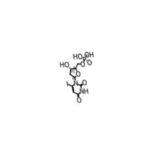 O=c1cc(I)n([C@H]2C[C@H](O)[C@@H](COP(=O)(O)O)O2)c(=O)[nH]1